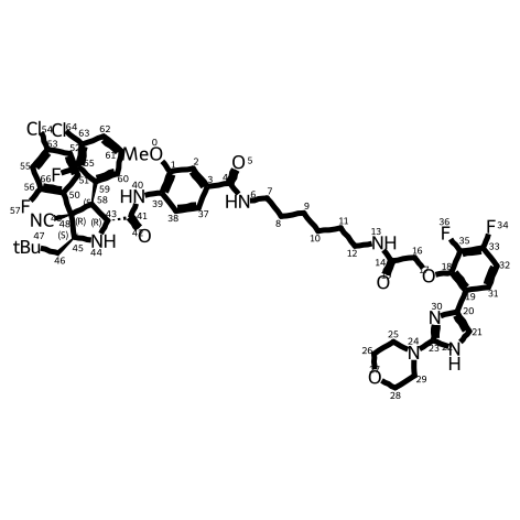 COc1cc(C(=O)NCCCCCCNC(=O)COc2c(-c3c[nH]c(N4CCOCC4)n3)ccc(F)c2F)ccc1NC(=O)[C@@H]1N[C@@H](CC(C)(C)C)[C@](C#N)(c2ccc(Cl)cc2F)[C@H]1c1cccc(Cl)c1F